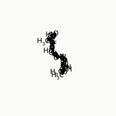 CCN(C)S(=O)(=O)Nc1ccc(F)c(Oc2ccc3nnc([C@H]4COC5(CCN(C(=O)CC6(O)CCN(c7cc8c(cc7F)c(N7CCC(=O)NC7=O)nn8C)CC6)CC5)C4)cc3c2)c1C#N